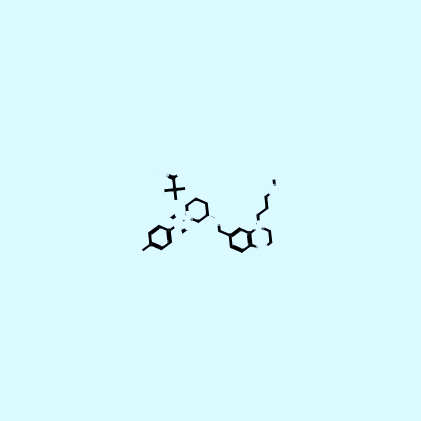 COCCCN1CCOc2ccc(CO[C@@H]3CC[C@@H](CC(C)(C)C(=O)O)N(S(=O)(=O)c4ccc(C)cc4)C3)cc21